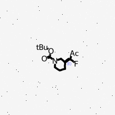 CC(=O)/C(F)=C1/CCCN(C(=O)OC(C)(C)C)C1